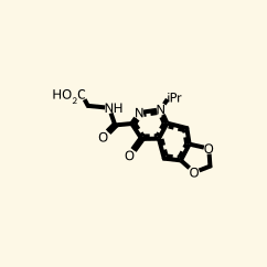 CC(C)n1nc(C(=O)NCC(=O)O)c(=O)c2cc3c(cc21)OCO3